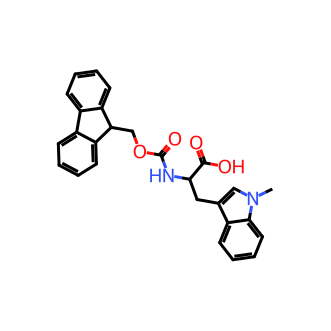 Cn1cc(CC(NC(=O)OCC2c3ccccc3-c3ccccc32)C(=O)O)c2ccccc21